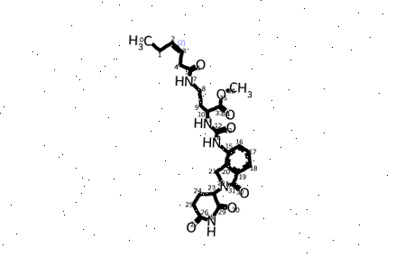 CC/C=C\CC(=O)NCCC(NC(=O)Nc1cccc2c1CN(C1CCC(=O)NC1=O)C2=O)C(=O)OC